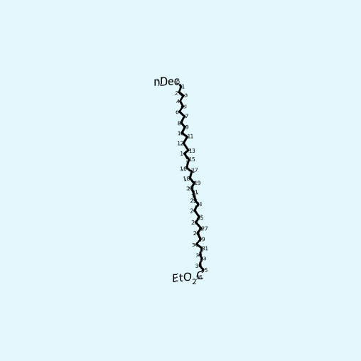 CCCCCCCCCCCCCCCCCCCCCCCCCCCCCCCCCCCCCCCCCCCCCC(=O)OCC